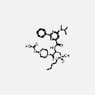 CCCCOP(=O)(O)C[C@H](NC(=O)c1cc(NC(C)C)nc(-c2ccccc2)n1)C(=O)N1CCN(OC(=O)O)CC1